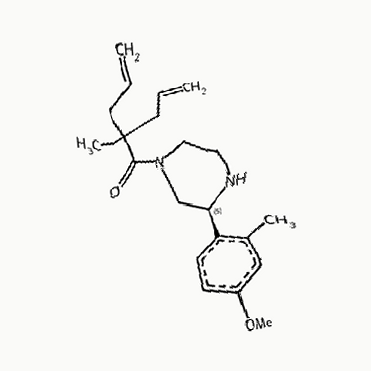 C=CCC(C)(CC=C)C(=O)N1CCN[C@@H](c2ccc(OC)cc2C)C1